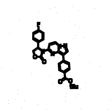 CC(C)(C)OC(=O)c1ccc(-c2cnn3ccc(N4C(=O)OCC4c4ccc(F)cc4)nc23)cc1